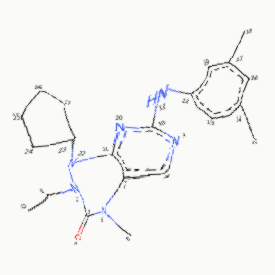 CCN1C(=O)N(C)c2cnc(Nc3cc(C)cc(C)c3)nc2N1C1CCCC1